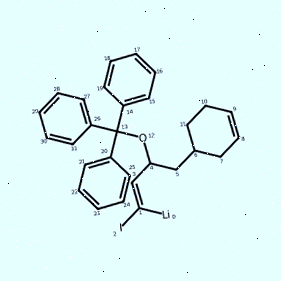 [Li]/[C](I)=C\C(CC1CC=CCC1)OC(c1ccccc1)(c1ccccc1)c1ccccc1